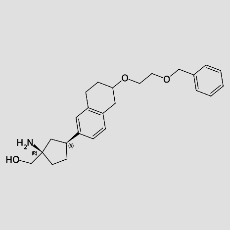 N[C@]1(CO)CC[C@H](c2ccc3c(c2)CCC(OCCOCc2ccccc2)C3)C1